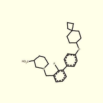 O=C(O)C1CCCN(Cc2cccc(-c3ccc(OC4CCC5(CCC5)CC4)cc3)c2F)C1